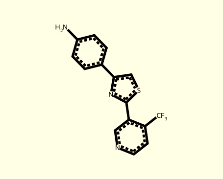 Nc1ccc(-c2csc(-c3cnccc3C(F)(F)F)n2)cc1